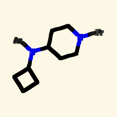 CC(=O)N(C1CCC1)C1CCN(C(C)C)CC1